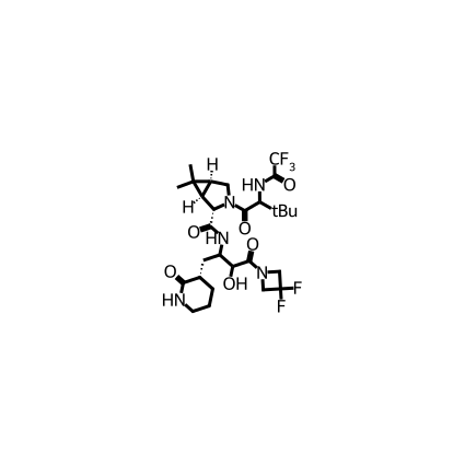 CC(C)(C)C(NC(=O)C(F)(F)F)C(=O)N1C[C@H]2[C@@H]([C@H]1C(=O)NC(C[C@@H]1CCCNC1=O)C(O)C(=O)N1CC(F)(F)C1)C2(C)C